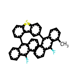 Cc1cccc2c(-c3ccc4sc5cccc(-c6c7ccccc7c(F)c7ccccc67)c5c4c3)c3ccccc3c(F)c12